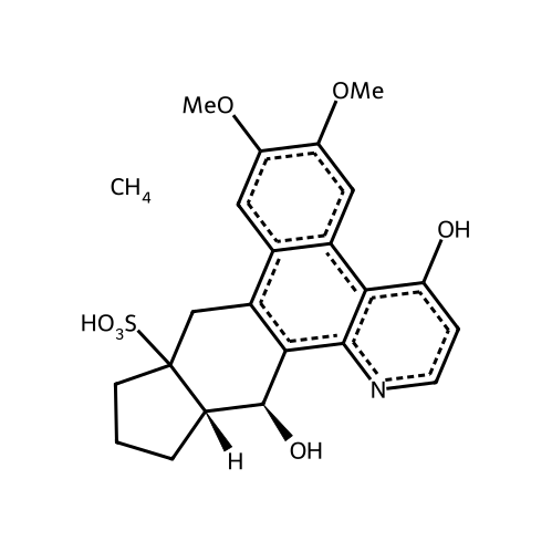 C.COc1cc2c3c(c4nccc(O)c4c2cc1OC)[C@@H](O)[C@@H]1CCCC1(S(=O)(=O)O)C3